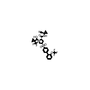 N#CC1(NC(=O)[C@@H]2C[C@@H](S(=O)(=O)c3ccc(-c4ccccc4OC(F)(F)F)cc3)CN2C(O)C2(C(F)(F)F)CC2)CC1